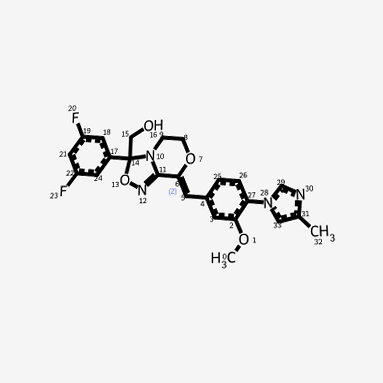 COc1cc(/C=C2\OCCN3C2=NOC3(CO)c2cc(F)cc(F)c2)ccc1-n1cnc(C)c1